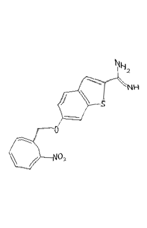 N=C(N)c1cc2ccc(OCc3ccccc3[N+](=O)[O-])cc2s1